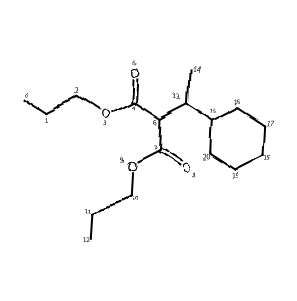 CCCOC(=O)C(C(=O)OCCC)C(C)C1CCCCC1